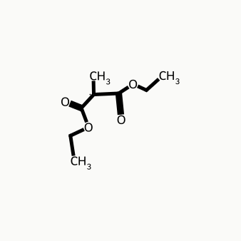 CCOC(=O)[C](C)C(=O)OCC